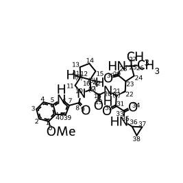 COc1cccc2[nH]c(C(=O)N3C[C@@H]4CCC[C@@H]4[C@H]3C(=O)N[C@@H](CC3CC(C)(C)NC3=O)C(=O)C(=O)NC3CC3)cc12